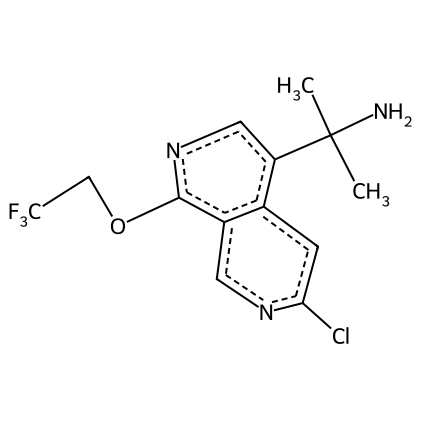 CC(C)(N)c1cnc(OCC(F)(F)F)c2cnc(Cl)cc12